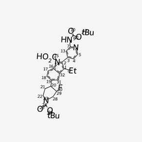 CCc1c(-c2ccnc(NC(=O)OC(C)(C)C)c2)n(C(=O)O)c2ccc(C3CCN(C(=O)OC(C)(C)C)CC3F)cc12